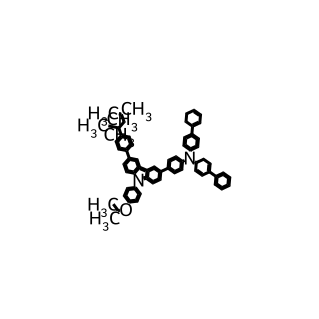 CC(C)CC(c1ccc(-c2ccc3c(c2)c2cc(-c4ccc(N(c5ccc(C6=CC=CCC6)cc5)C5C=CC(c6ccccc6)=CC5)cc4)ccc2n3-c2ccc(OC(C)C)cc2)cc1)C(C)(C)C